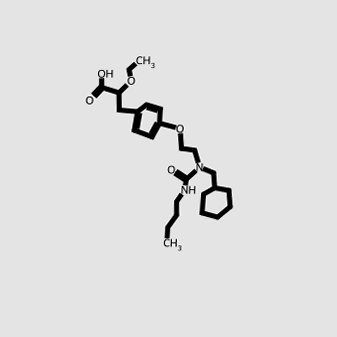 CCCCNC(=O)N(CCOc1ccc(CC(OCC)C(=O)O)cc1)CC1CCCCC1